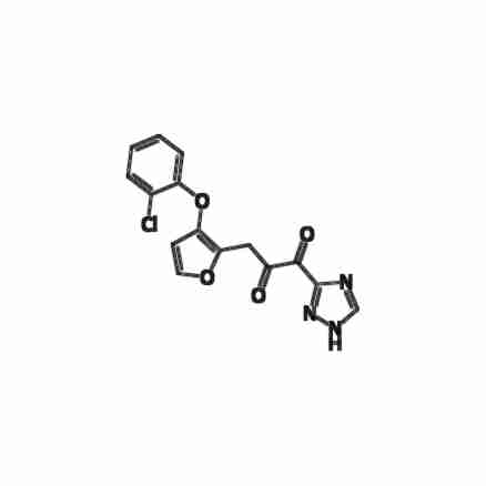 O=C(Cc1occc1Oc1ccccc1Cl)C(=O)c1nc[nH]n1